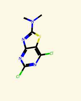 CN(C)c1nc2nc(Cl)nc(Cl)c2s1